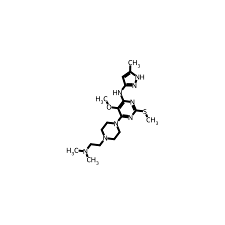 COc1c(Nc2cc(C)[nH]n2)nc(SC)nc1N1CCN(CCN(C)C)CC1